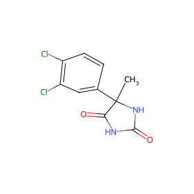 CC1(c2ccc(Cl)c(Cl)c2)NC(=O)NC1=O